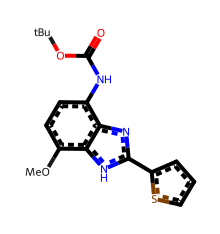 COc1ccc(NC(=O)OC(C)(C)C)c2nc(-c3cccs3)[nH]c12